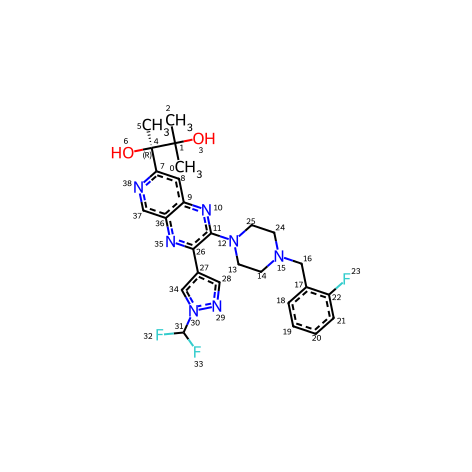 CC(C)(O)[C@](C)(O)c1cc2nc(N3CCN(Cc4ccccc4F)CC3)c(-c3cnn(C(F)F)c3)nc2cn1